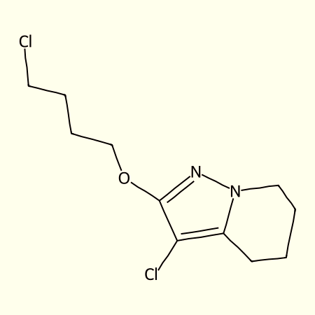 ClCCCCOc1nn2c(c1Cl)CCCC2